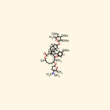 CC[C@H]1CCC[C@H](O[C@H]2CC[C@H](N(C)C)C(C)O2)[C@@H](C)C(=O)C2C(c3cccc(OC)c3)[C@@H]3[C@@H](C=C[C@@H]4C[C@@H](O[C@@H]5OC(C)[C@H](OC)C(OC)C5OC)C[C@@H]34)[C@@H]2CC(=O)O1